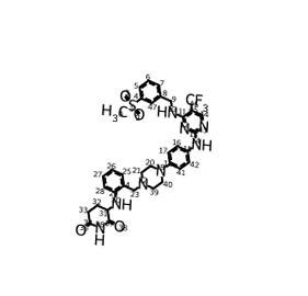 CS(=O)(=O)c1cccc(CNc2nc(Nc3ccc(N4CCN(Cc5ccccc5NC5CCC(=O)NC5=O)CC4)cc3)ncc2C(F)(F)F)c1